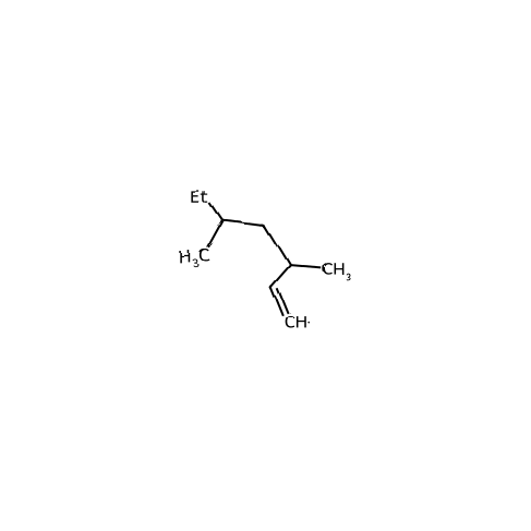 [CH]=CC(C)CC(C)CC